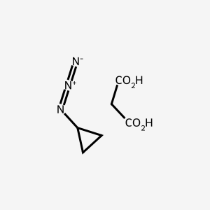 O=C(O)CC(=O)O.[N-]=[N+]=NC1CC1